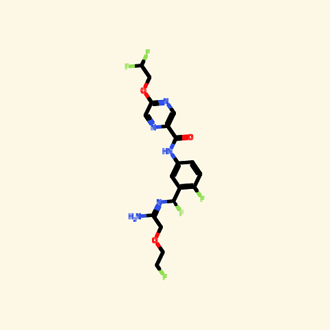 N/C(COCCF)=N/[C@H](F)c1cc(NC(=O)c2cnc(OCC(F)F)cn2)ccc1F